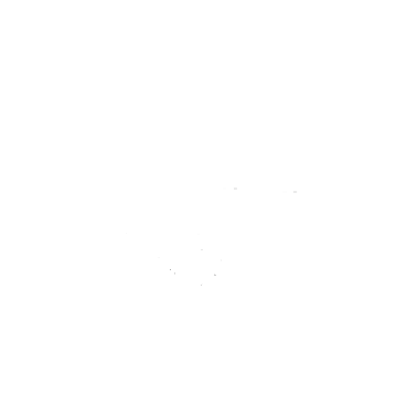 COC(C)OC.O=CC1=CS[C@@H]2C(NC(=O)Cc3cccs3)C(=O)N2C1C(=O)OC(c1ccccc1)c1ccccc1